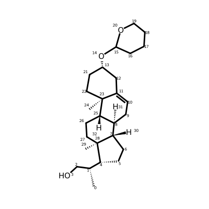 C[C@H](CO)[C@H]1CC[C@H]2[C@@H]3CC=C4C[C@@H](OC5CCCCO5)CC[C@]4(C)[C@H]3CC[C@]12C